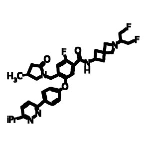 CC(C)c1ccc(-c2ccc(Oc3cc(C(=O)NC4CC5(C4)CN(C(CF)CF)C5)c(F)cc3CN3C[C@@H](C)CC3=O)cc2)nn1